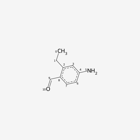 CCc1cc(N)ccc1C=O